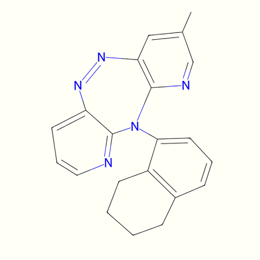 Cc1cnc2c(c1)N=Nc1cccnc1N2c1cccc2c1CCCC2